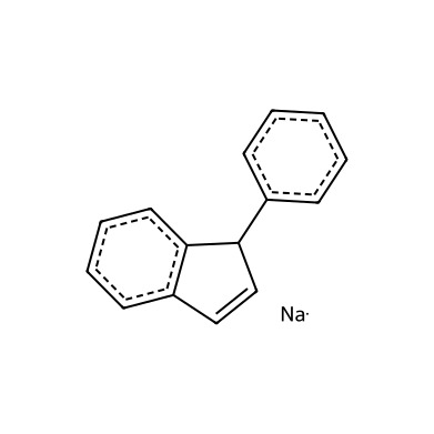 C1=CC(c2ccccc2)c2ccccc21.[Na]